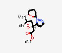 CCCC(C[C@](O)(CC(=O)OC(C)(C)C)c1ccnn1C1CCCCO1)NC